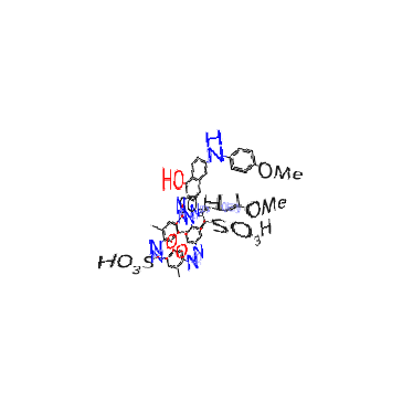 C=C(C(=C\C=C(/C)OC)/N=N\c1cc(OCCCS(=O)(=O)O)c(/N=N\c2cc(OCCCS(=O)(=O)O)c(/N=N\c3cc(C)c(/N=N/c4ccc5cc(Nc6ccc(OC)cc6)ccc5c4O)cc3C)cc2C)cc1C)S(=O)(=O)O